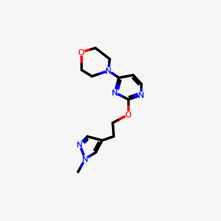 Cn1cc(CCOc2nccc(N3CCOCC3)n2)cn1